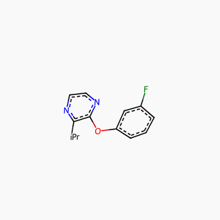 CC(C)c1nccnc1Oc1cccc(F)c1